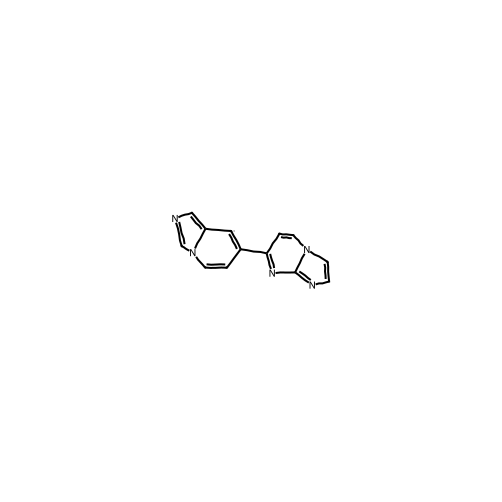 [c]1c(-c2ccn3ccnc3n2)ccn2cncc12